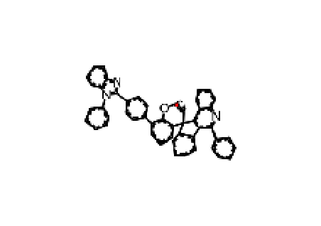 c1ccc(-c2nc3ccccc3c3c2-c2ccccc2C32c3ccccc3Oc3c(-c4ccc(-c5nc6ccccc6n5-c5ccccc5)cc4)cccc32)cc1